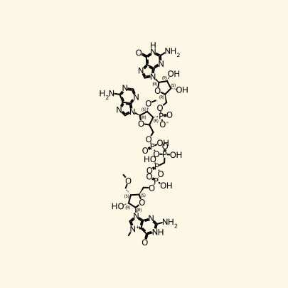 COC[C@H]1[C@@H](O)[C@H](n2c[n+](C)c3c(=O)[nH]c(N)nc32)O[C@@H]1COP(=O)(O)OP(=O)(O)CP(=O)(O)OP(=O)(O)OCC1O[C@@H](n2cnc3c(N)ncnc32)[C@H](OC)[C@@H]1P(=O)([O-])OC[C@H]1O[C@@H](n2cnc3c(=O)[nH]c(N)nc32)[C@H](O)[C@@H]1O